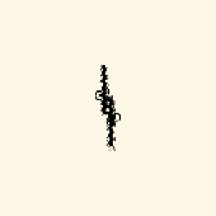 CCCCCCCOC(=O)c1ccc2cc(C(=O)OCCCCCCC)ccc2c1